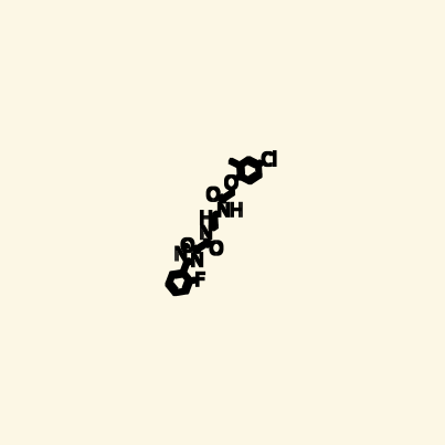 Cc1cc(Cl)ccc1OCC(=O)NCCNC(=O)c1nc(-c2ccccc2F)no1